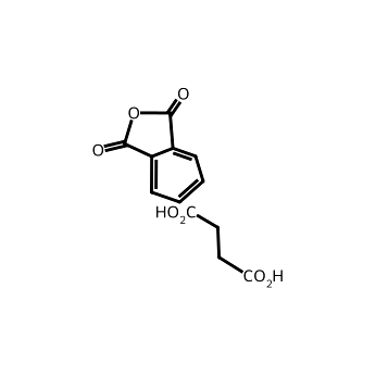 O=C(O)CCC(=O)O.O=C1OC(=O)c2ccccc21